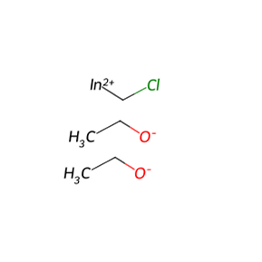 CC[O-].CC[O-].Cl[CH2][In+2]